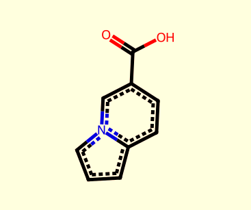 O=C(O)c1ccc2cccn2c1